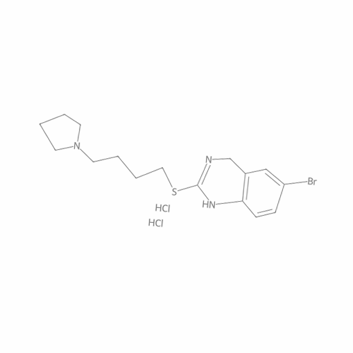 Brc1ccc2c(c1)CN=C(SCCCCN1CCCC1)N2.Cl.Cl